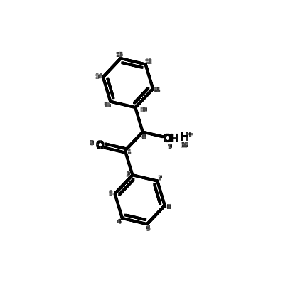 O=C(c1ccccc1)C(O)c1ccccc1.[H+]